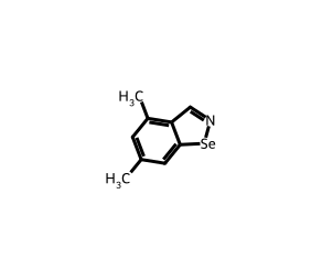 Cc1cc(C)c2cn[se]c2c1